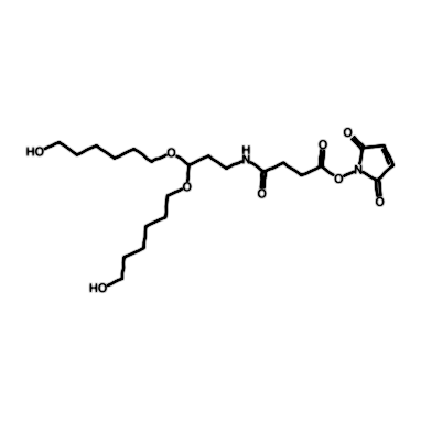 O=C(CCC(=O)ON1C(=O)C=CC1=O)NCCC(OCCCCCCO)OCCCCCCO